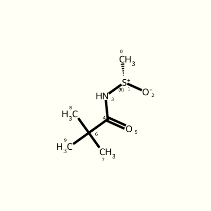 C[S@+]([O-])NC(=O)C(C)(C)C